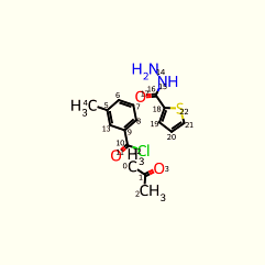 CC(C)=O.Cc1cccc(C(=O)Cl)c1.NNC(=O)c1cccs1